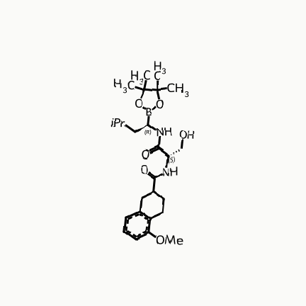 COc1cccc2c1CCC(C(=O)N[C@@H](CO)C(=O)N[C@@H](CC(C)C)B1OC(C)(C)C(C)(C)O1)C2